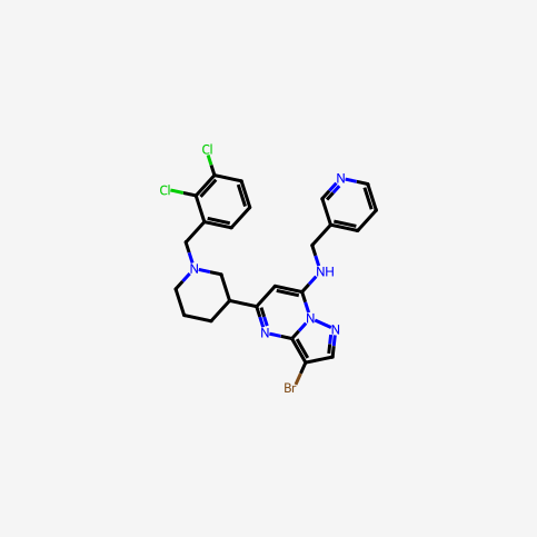 Clc1cccc(CN2CCCC(c3cc(NCc4cccnc4)n4ncc(Br)c4n3)C2)c1Cl